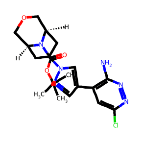 CC(C)(C)OC(=O)N1[C@@H]2COC[C@H]1CC(n1cc(-c3cc(Cl)nnc3N)cn1)C2